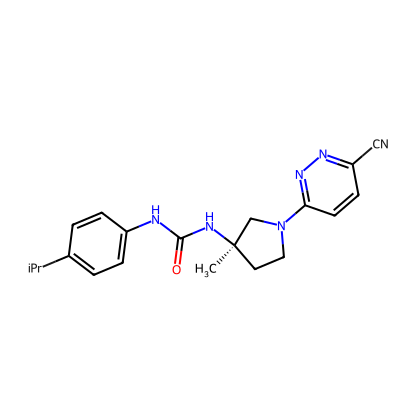 CC(C)c1ccc(NC(=O)N[C@]2(C)CCN(c3ccc(C#N)nn3)C2)cc1